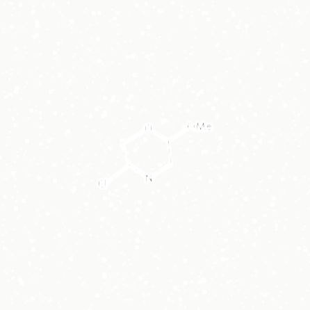 COC1C[N]C(Cl)CO1